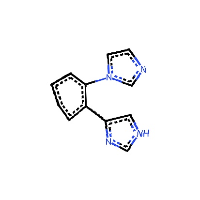 c1ccc(-n2ccnc2)c(-c2c[nH]cn2)c1